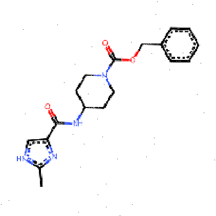 Cc1nc(C(=O)NC2CCN(C(=O)OCc3ccccc3)CC2)c[nH]1